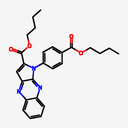 CCCCOC(=O)c1ccc(-n2c(C(=O)OCCCC)cc3nc4ccccc4nc32)cc1